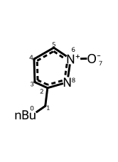 CCCCCc1ccc[n+]([O-])n1